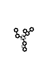 c1ccc(-c2cccc(-c3nc(-c4ccc5c(c4)sc4ccccc45)nc(-c4ccc(-c5ccccc5)c5ccccc45)n3)c2)cc1